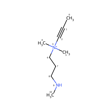 CC#C[N+](C)(C)CCCNC